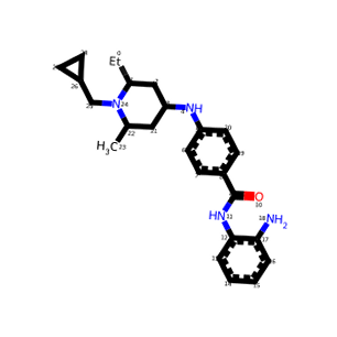 CCC1CC(Nc2ccc(C(=O)Nc3ccccc3N)cc2)CC(C)N1CC1CC1